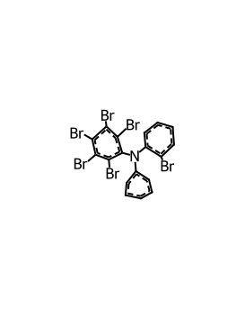 Brc1ccccc1N(c1ccccc1)c1c(Br)c(Br)c(Br)c(Br)c1Br